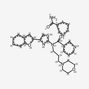 NC(=O)c1cccnc1.O=C(c1cccnc1)N(CCCN1CCOCC1)c1nc(-c2cc3ccccc3o2)cs1